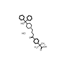 CC(C)(C(=O)O)c1ccc(C(=O)CCCN2CCC(C(O)(c3ccccc3)c3ccccc3)CC2)cc1.Cl